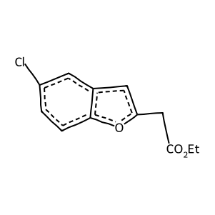 CCOC(=O)Cc1cc2cc(Cl)ccc2o1